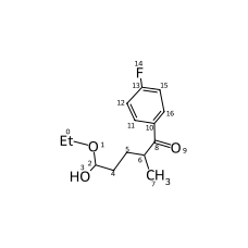 CCOC(O)CCC(C)C(=O)c1ccc(F)cc1